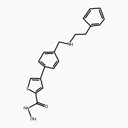 O=C(NO)c1cc(-c2ccc(CNCCc3ccccc3)cc2)cs1